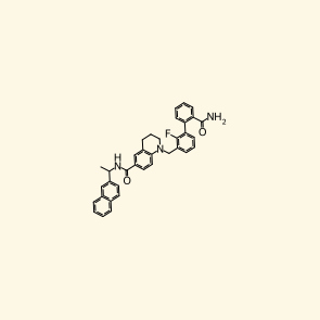 CC(NC(=O)c1ccc2c(c1)CCCN2Cc1cccc(-c2ccccc2C(N)=O)c1F)c1ccc2ccccc2c1